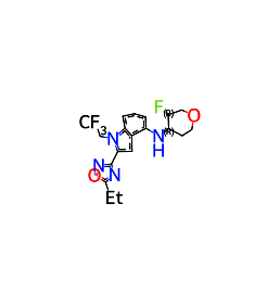 CCc1nc(-c2cc3c(N[C@@H]4CCOC[C@@H]4F)cccc3n2CC(F)(F)F)no1